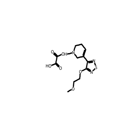 COCCOc1nsnc1C1=CCCN(C)C1.O=C(O)C(=O)O